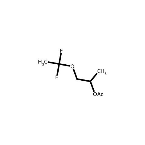 CC(=O)OC(C)COC(C)(F)F